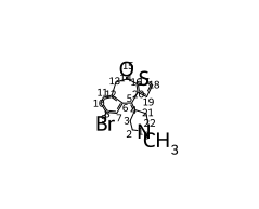 CN1CCC(=C2c3cc(Br)ccc3CC(=O)c3sccc32)CC1